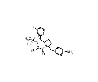 CC(C)(C)OC(=O)N1C(Cc2ccc(N)cc2)CC[C@@H]1[C@H](O[Si](C)(C)C(C)(C)C)c1cccc(F)c1